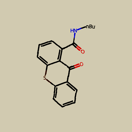 CCCCNC(=O)c1cccc2sc3ccccc3c(=O)c12